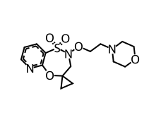 O=S1(=O)c2cccnc2OC2(CC2)CN1OCCN1CCOCC1